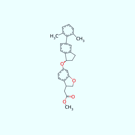 COC(=O)CC1COc2cc(O[C@@H]3CCc4cc(-c5c(C)cccc5C)ccc43)ccc21